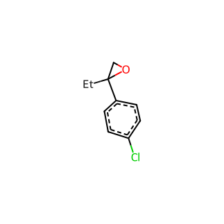 CCC1(c2ccc(Cl)cc2)CO1